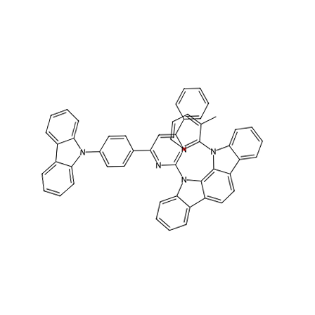 Cc1ccccc1-n1c2ccccc2c2ccc3c4ccccc4n(-c4nc(-c5ccccc5)cc(-c5ccc(-n6c7ccccc7c7ccccc76)cc5)n4)c3c21